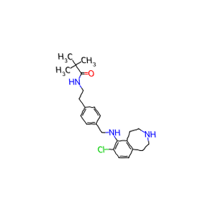 CC(C)(C)C(=O)NCCc1ccc(CNc2c(Cl)ccc3c2CCNCC3)cc1